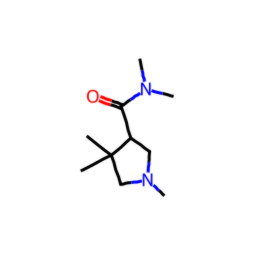 CN1CC(C(=O)N(C)C)C(C)(C)C1